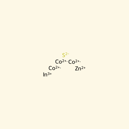 [Co+2].[Co+2].[Co+2].[In+3].[S-2].[Zn+2]